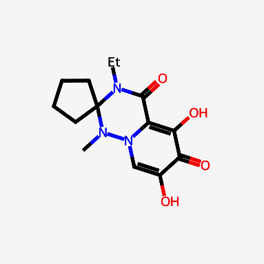 CCN1C(=O)c2c(O)c(=O)c(O)cn2N(C)C12CCCC2